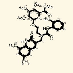 COC(=O)[C@H]1O[C@@H](OCCN(Cc2cc3cc(C)cc(C)c3[nH]c2=O)C(=O)Nc2ccccc2C(C)(C)C)[C@H](OC(C)=O)[C@@H](OC(C)=O)[C@@H]1OC(C)=O